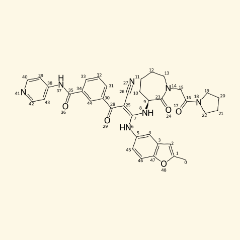 Cc1cc2cc(N/C(N[C@H]3CCCCN(CC(=O)N4CCCC4)C3=O)=C(/C#N)C(=O)c3cccc(C(=O)Nc4ccncc4)c3)ccc2o1